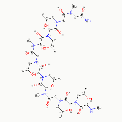 CCC(C)NCC(=O)N(CC(=O)N(CC(=O)N(CC(=O)N(CC(=O)N(CC(=O)N(CC(=O)N(CC(=O)N(CC(=O)N(CC(N)=O)C(C)CC)CC(C)O)CC(C)O)C(C)CC)CC(C)O)CC(C)O)C(C)CC)CC(C)O)CC(C)O